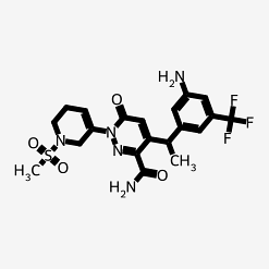 CC(c1cc(N)cc(C(F)(F)F)c1)c1cc(=O)n(C2=CCCN(S(C)(=O)=O)C2)nc1C(N)=O